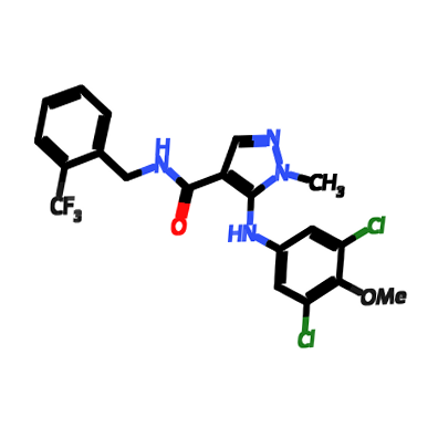 COc1c(Cl)cc(Nc2c(C(=O)NCc3ccccc3C(F)(F)F)cnn2C)cc1Cl